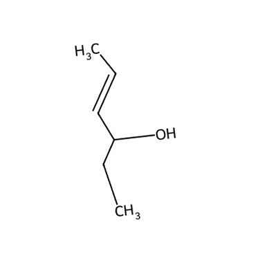 C/C=C/C(O)CC